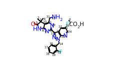 CC(=O)O.CC1(C)C(=O)Nc2nc(-c3nn(Cc4ccccc4F)c4ncc(F)cc34)nc(CN)c21